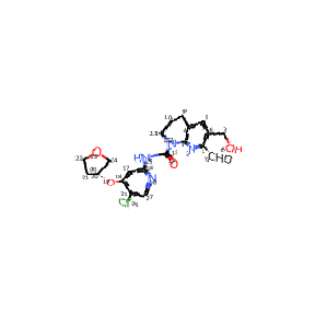 O=Cc1nc2c(cc1CO)CCCN2C(=O)Nc1cc(O[C@@H]2CCOC2)c(Cl)cn1